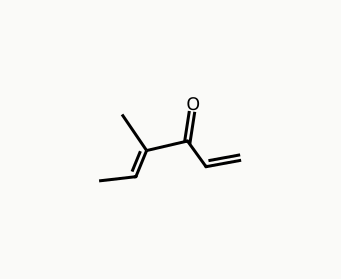 C=CC(=O)C(C)=CC